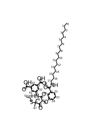 CCCCCCCCCCCCCCCCCCNC(=O)c1cccc(OC(C(=O)Nc2cc(C(=O)O)cc(C(=O)O)c2)C(=O)C(C)(C)SCC)c1